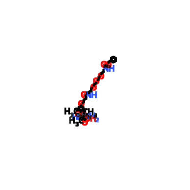 Cc1cc(OCCCC(=O)NCCCOCCOCCOCCCNC(=O)OCc2ccccc2)cc(C)c1S(=O)(=O)NC(C)(CN)C(=O)O